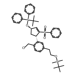 CC(C)(C)[Si](C)(C)OCCc1ccc(CCl)c([C@@H]2C[C@@H](O[Si](c3ccccc3)(c3ccccc3)C(C)(C)C)C=C2S(=O)(=O)c2ccccc2)c1